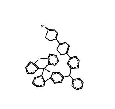 CC1(c2ccccc2-c2ccc(C(c3ccccc3)c3cccc(C4=CC=C(C5=CC=C(C#N)CC5)CC4)c3)cc2)c2ccccc2Oc2ccccc21